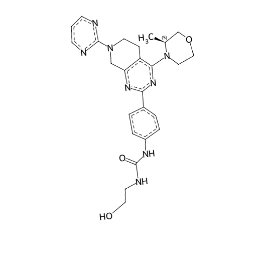 C[C@H]1COCCN1c1nc(-c2ccc(NC(=O)NCCO)cc2)nc2c1CCN(c1ncccn1)C2